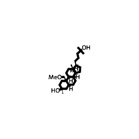 COC[C@]12CC[C@](C)(O)C[C@@H]1CC[C@H]1[C@@H]3CC[C@H](CCCC(C)(C)O)[C@@]3(C)CC[C@@H]12